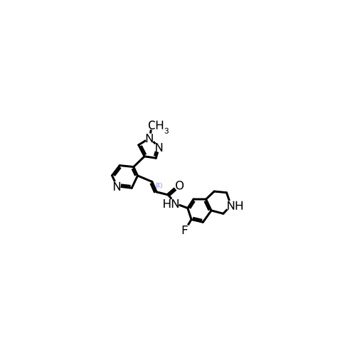 Cn1cc(-c2ccncc2/C=C/C(=O)Nc2cc3c(cc2F)CNCC3)cn1